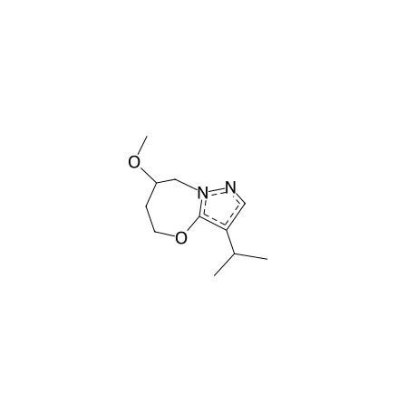 COC1CCOc2c(C(C)C)cnn2C1